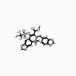 COC(=O)C1=C(OS(=O)(=O)C(F)(F)F)c2cc3c(cc2S(=O)(=O)N1Cc1ccc2c(c1)OCO2)OCO3